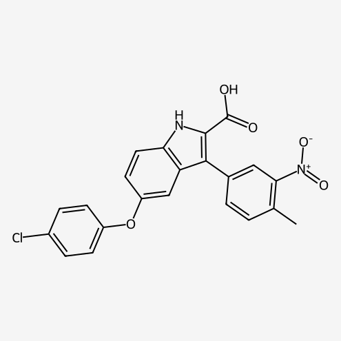 Cc1ccc(-c2c(C(=O)O)[nH]c3ccc(Oc4ccc(Cl)cc4)cc23)cc1[N+](=O)[O-]